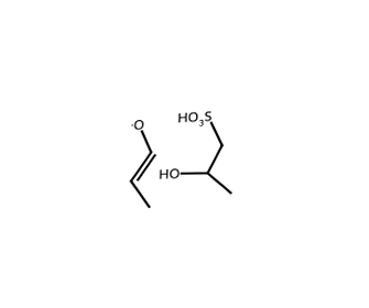 CC(O)CS(=O)(=O)O.CC=C[O]